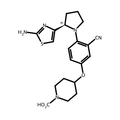 N#Cc1cc(OC2CCN(C(=O)O)CC2)ccc1N1CCC[C@@H]1c1csc(N)n1